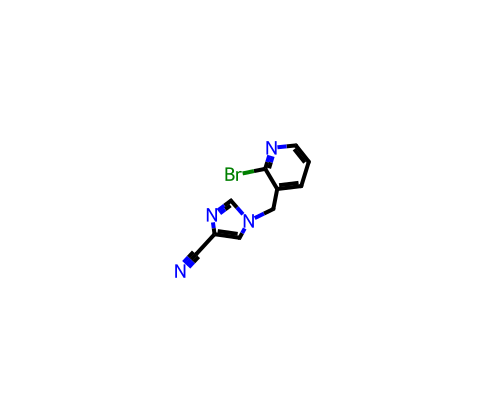 N#Cc1cn(Cc2cccnc2Br)cn1